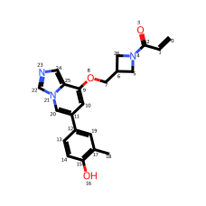 C=CC(=O)N1CC(COc2cc(-c3ccc(O)c(C)c3)cn3cncc23)C1